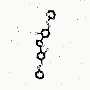 Clc1cc(/N=N/c2ccccn2)ccc1-c1ccc(-c2ccc(/N=N/c3ccccn3)cc2Cl)o1